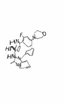 C=C1Nc2ccccc2C(c2ccccc2)=N[C@H]1NC(=N)OC(=N)c1ccc(N2CCOCC2)cc1F